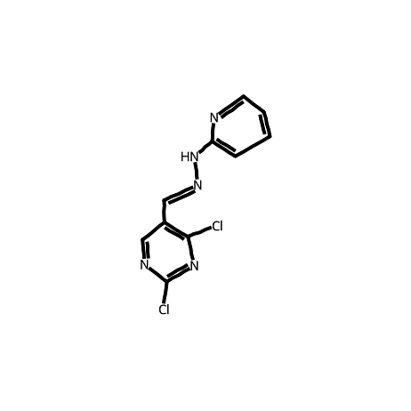 Clc1ncc(C=NNc2ccccn2)c(Cl)n1